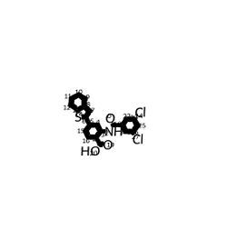 O=C(Nc1cc(-c2cc3ccccc3s2)ccc1C(=O)O)c1cc(Cl)cc(Cl)c1